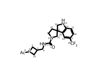 CC(=O)N1CC(CNC(=O)N2CCC3(CNc4ccc(C(F)(F)F)cc43)C2)C1